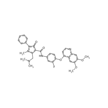 COc1cc2nccc(Oc3ccc(NC(=O)c4c(CN(C)C)n(C)n(-c5ccccc5)c4=O)cc3F)c2cc1OC